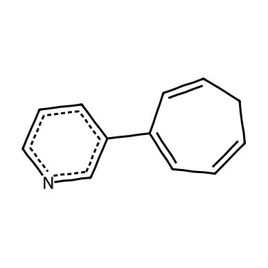 C1=CCC=CC(c2cccnc2)=C1